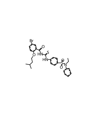 CCN(c1ccccc1)S(=O)(=O)c1ccc(NC(=S)NC(=O)c2cc(Br)ccc2OCCC(C)C)cc1